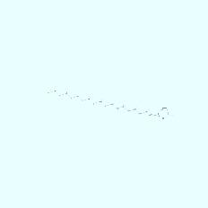 FC(F)(F)CCCCCCCCCCCCCCCCCCOC1CCCO1